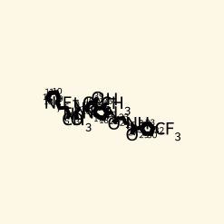 CCN(C(=O)N(C)CCc1ccccn1)c1nc2ccc(NC(=O)CCNC(=O)c3ccc(C(F)(F)F)cc3)c(C)c2c(=O)o1